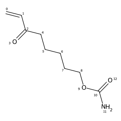 C=CC(=O)CCCCCOC(N)=O